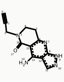 C#CCN1CCc2nc3[nH]ncc3c(N)c2C1=O